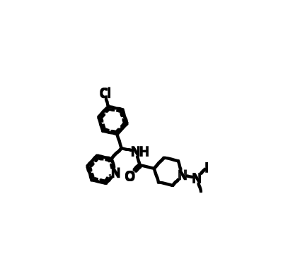 CN(I)N1CCC(C(=O)NC(c2ccc(Cl)cc2)c2ccccn2)CC1